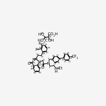 CCNCCN(Cc1ccc(-c2ccc(C(F)(F)F)cc2)cc1)C(=O)Cn1c(CCc2cccc(F)c2F)nc(=O)c2ccccc21.O=C(O)C(O)C(O)C(=O)O